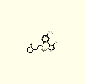 Cn1ncc(Br)c1-c1cc(N)ccc1OCCC1CCCN1